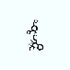 O=Cc1ccc(OCc2cc(-c3ccccc3)c(C(F)(F)F)s2)c(Cl)c1